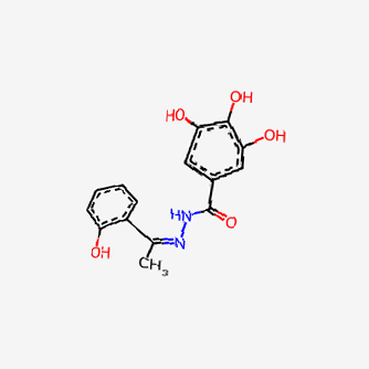 CC(=NNC(=O)c1cc(O)c(O)c(O)c1)c1ccccc1O